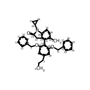 CCCc1cc(OCc2ccccc2)c(-c2c(C)ccc3c2CC(=O)N3C2CC2)c(OCc2ccccc2)c1